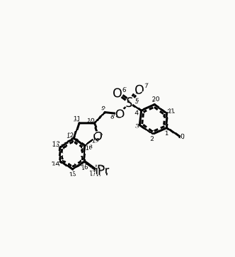 Cc1ccc(S(=O)(=O)OCC2Cc3cccc(C(C)C)c3O2)cc1